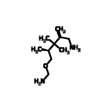 C=C(CN)C(C)(C)[C@H](C)COCN